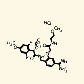 CCO[C@H](C(=O)NCc1ccc(C(=N)N)cc1OCC(=O)NCCOC)c1c(F)cc(OC)cc1F.Cl